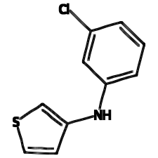 Clc1cccc(Nc2ccsc2)c1